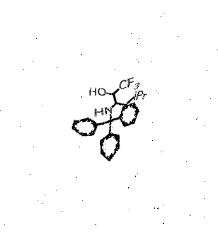 CC(C)CC(NC(c1ccccc1)(c1ccccc1)c1ccccc1)C(O)C(F)(F)F